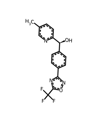 Cc1ccc([C@@H](O)c2ccc(-c3noc(C(F)(F)F)n3)cc2)nc1